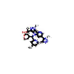 Cc1ccnc(C(C2CCOCC2)n2c3cc(-c4c(C)nnn4C)cnc3c3c2c(C(C)(C)O)nn3C)c1